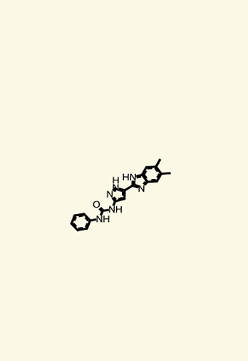 Cc1cc2nc(-c3cc(NC(=O)Nc4ccccc4)n[nH]3)[nH]c2cc1C